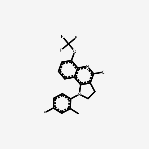 Cc1cc(F)ccc1N1CCc2c(Cl)nc3c(OC(F)(F)F)cccc3c21